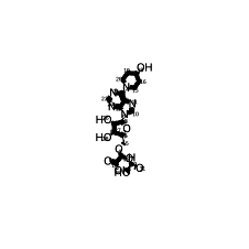 O=C(O)C(OC[C@H]1O[C@@H](n2cnc3c(N4CCC(O)CC4)ncnc32)[C@H](O)[C@@H]1O)O[PH](=O)O